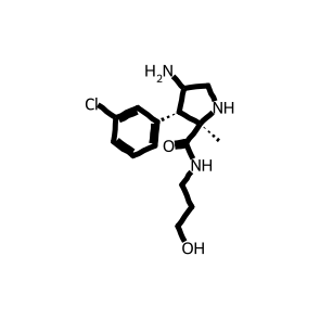 C[C@@]1(C(=O)NCCCO)NCC(N)[C@H]1c1cccc(Cl)c1